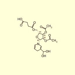 CC(=O)O[C@@H]1[C@H](OC(C)=O)[C@@H](COC(=O)CCC(=O)O)O[C@H]1N1C=CCC(C(O)O)=C1